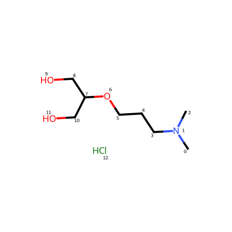 CN(C)CCCOC(CO)CO.Cl